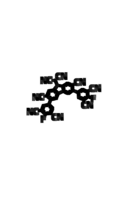 N#Cc1cc2c(cc1-c1cc(C#N)c(F)c(C#N)c1)-c1cc(-c3cc(C#N)c(F)c(C#N)c3)c(C#N)cc1C2C(C#N)C#N